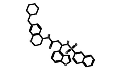 O=C(CC(NS(=O)(=O)c1ccc2ccccc2c1)c1cccc2occc12)NC1CCOc2cc(CN3CCCCC3)ccc21